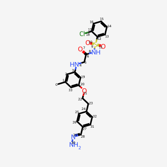 Cc1cc(NCC(=O)NS(=O)(=O)c2ccccc2Cl)cc(OCCc2ccc(C=NN)cc2)c1